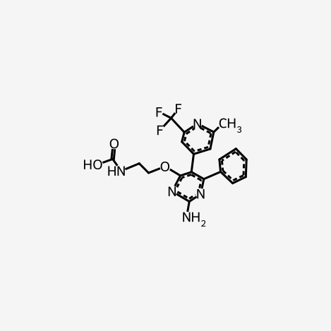 Cc1cc(-c2c(OCCNC(=O)O)nc(N)nc2-c2ccccc2)cc(C(F)(F)F)n1